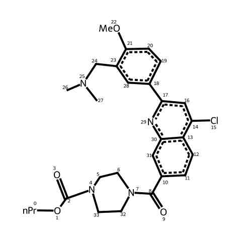 CCCOC(=O)N1CCN(C(=O)c2ccc3c(Cl)cc(-c4ccc(OC)c(CN(C)C)c4)nc3c2)CC1